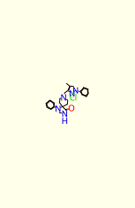 CC1=C(CN2CCC3(CC2)C(=O)NCN3c2ccccc2)N(Cl)N(c2ccccc2)C1